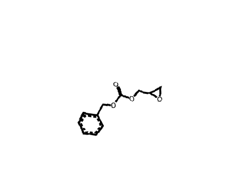 O=C(OCc1ccccc1)OCC1CO1